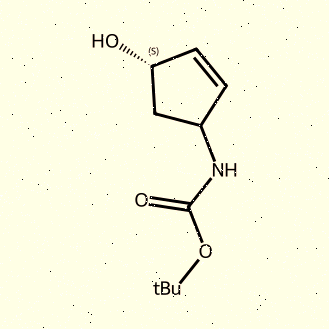 CC(C)(C)OC(=O)NC1C=C[C@@H](O)C1